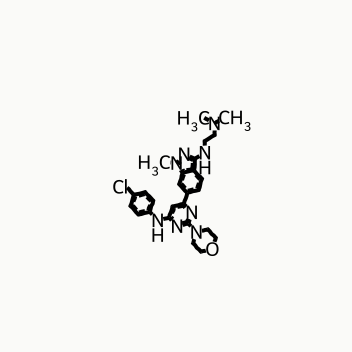 CN(C)CCNc1nn(C)c2cc(-c3cc(Nc4ccc(Cl)cc4)nc(N4CCOCC4)n3)ccc12